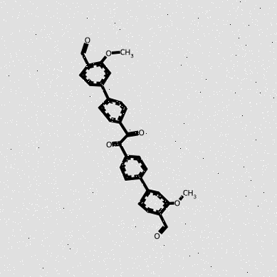 COc1cc(-c2ccc(C(=O)C(=O)c3ccc(-c4ccc(C=O)c(OC)c4)cc3)cc2)ccc1C=O